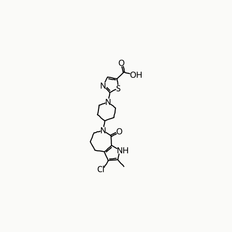 Cc1[nH]c2c(c1Cl)CCCN(C1CCN(c3ncc(C(=O)O)s3)CC1)C2=O